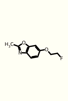 Cc1nc2ccc(OCCF)cc2o1